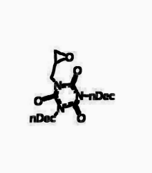 CCCCCCCCCCn1c(=O)n(CCCCCCCCCC)c(=O)n(CC2CO2)c1=O